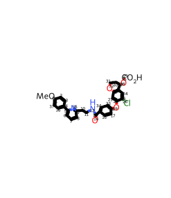 COc1ccc(-c2cccc(CCNC(=O)c3ccc(Oc4cc5c(cc4Cl)C(OC(=O)O)CCO5)cc3)n2)cc1